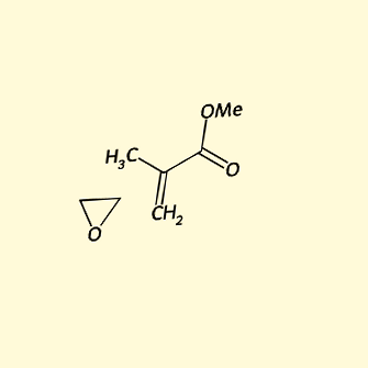 C1CO1.C=C(C)C(=O)OC